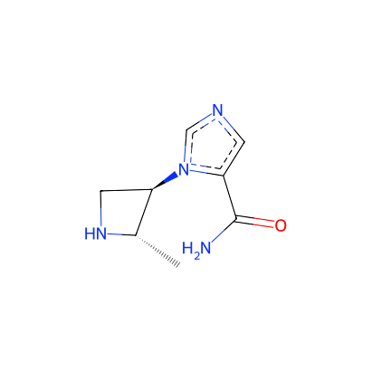 C[C@@H]1NC[C@H]1n1cncc1C(N)=O